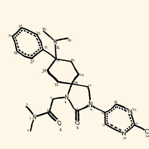 CN(C)C(=O)CN1C(=O)N(c2cnc(C#N)nc2)CC12CCC(c1ccccc1)(N(C)C)CC2